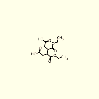 CCOC(=O)C(CC(=O)O)C(CC(=O)O)C(=O)OCC